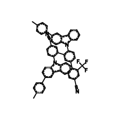 Cc1ccc(-c2ccc3c(c2)c2ccccc2n3-c2ccc(C#N)cc2-c2cc(-c3ccc(C#N)cc3C(F)(F)F)ccc2-n2c3ccccc3c3cc(-c4ccc(C)cc4)ccc32)cc1